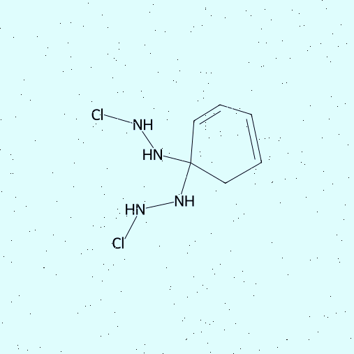 ClNNC1(NNCl)C=CC=CC1